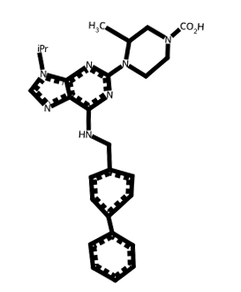 CC1CN(C(=O)O)CCN1c1nc(NCc2ccc(-c3ccccc3)cc2)c2ncn(C(C)C)c2n1